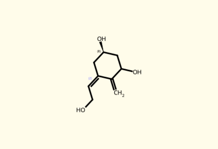 C=C1/C(=C\CO)C[C@@H](O)CC1O